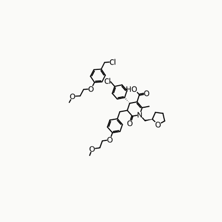 COCCOc1ccc(CC2C(=O)N(C[C@H]3CCCO3)C(C)=C(C(=O)O)[C@H]2c2ccc(Cl)cc2)cc1.COCCOc1ccc(CCl)cc1